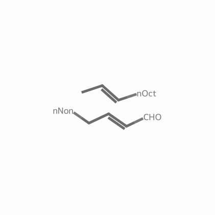 CC=CCCCCCCCC.CCCCCCCCCC/C=C/C=O